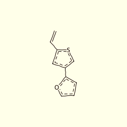 C=Cc1cc(-c2ccco2)cs1